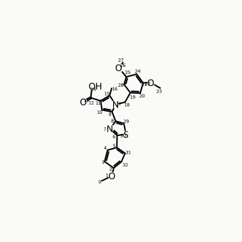 COc1ccc(-c2nc(-c3cc(C(=O)O)c(C)n3Cc3cc(OC)cc(OC)c3)cs2)cc1